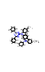 Cc1ccc2c(c1)c1cc3c4cc(C)ccc4n(-c4nc(-c5ccccc5)nc(-c5ccccc5)n4)c3cc1n2-c1ccccc1